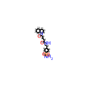 NS(=O)(=O)c1ccc(CCNC(=O)CCCC(=O)N2CCCC3CCCCC32)cc1